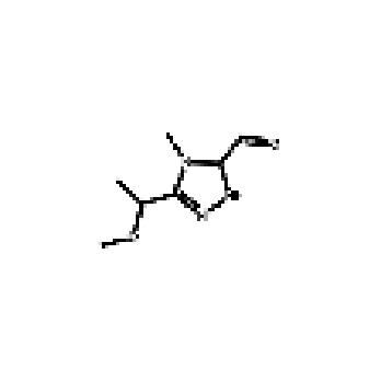 COC(C)C1=NNC(C=O)N1C